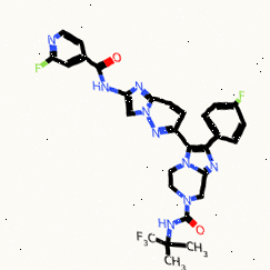 CC(C)(NC(=O)N1CCn2c(nc(-c3ccc(F)cc3)c2-c2ccc3nc(NC(=O)c4ccnc(F)c4)cn3n2)C1)C(F)(F)F